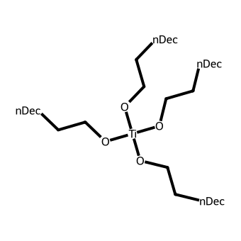 CCCCCCCCCCCC[O][Ti]([O]CCCCCCCCCCCC)([O]CCCCCCCCCCCC)[O]CCCCCCCCCCCC